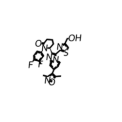 Cc1noc(C)c1-c1ccn2c(-c3nc(CO)cs3)c([C@@H]3CCCC(=O)N3c3ccc(F)c(F)c3)nc2c1